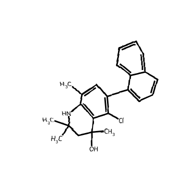 Cc1cc(-c2cccc3ccccc23)c(Cl)c2c1NC(C)(C)CC2(C)O